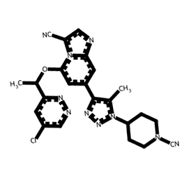 Cc1c(-c2cc(OC(C)c3cc(Cl)cnn3)n3c(C#N)cnc3c2)nnn1C1CCN(C#N)CC1